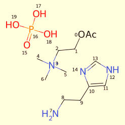 CC(=O)OCC[N+](C)(C)C.NCCc1c[nH]cn1.O=P(O)(O)O